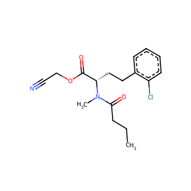 CCCC(=O)N(C)[C@@H](CCc1ccccc1Cl)C(=O)OCC#N